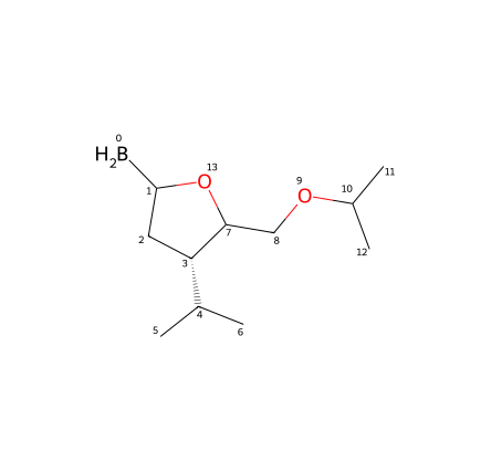 BC1C[C@@H](C(C)C)C(COC(C)C)O1